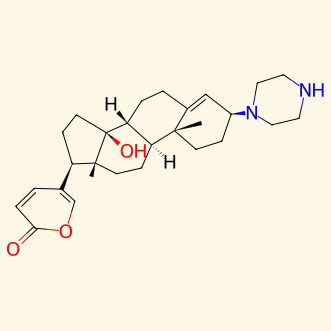 C[C@]12CC[C@H](N3CCNCC3)C=C1CC[C@@H]1[C@@H]2CC[C@]2(C)[C@@H](c3ccc(=O)oc3)CC[C@]12O